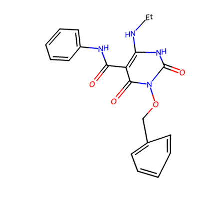 CCNc1[nH]c(=O)n(OCc2ccccc2)c(=O)c1C(=O)Nc1ccccc1